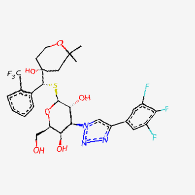 CC1(C)C[C@@](O)([C@H](S[C@@H]2O[C@H](CO)[C@H](O)[C@H](n3cc(-c4cc(F)c(F)c(F)c4)nn3)[C@H]2O)c2ccccc2C(F)(F)F)CCO1